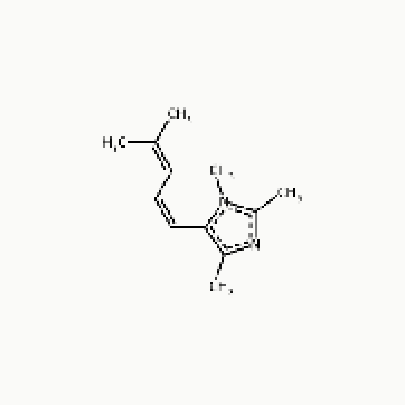 CC(C)=C/C=C\c1c(C)nc(C)n1C